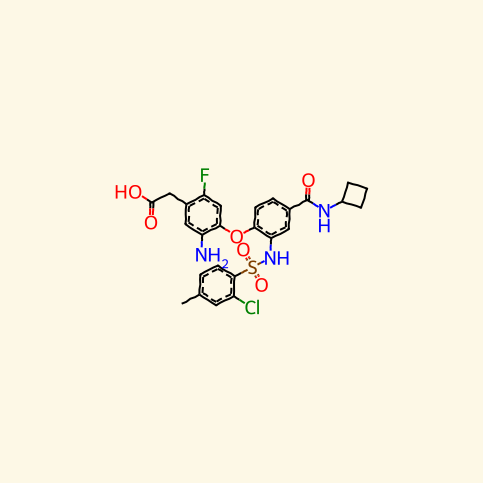 Cc1ccc(S(=O)(=O)Nc2cc(C(=O)NC3CCC3)ccc2Oc2cc(F)c(CC(=O)O)cc2N)c(Cl)c1